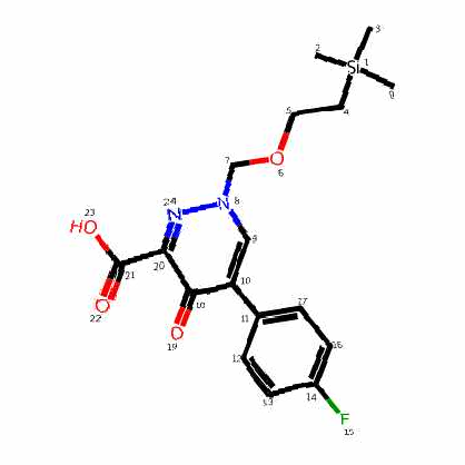 C[Si](C)(C)CCOCn1cc(-c2ccc(F)cc2)c(=O)c(C(=O)O)n1